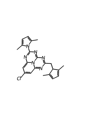 CC1=CC=C(C)C1CC1=NC2=NC(n3c(C)ccc3C)=NC3=CC(Cl)=CC(=N1)N32